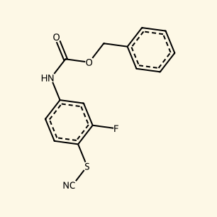 N#CSc1ccc(NC(=O)OCc2ccccc2)cc1F